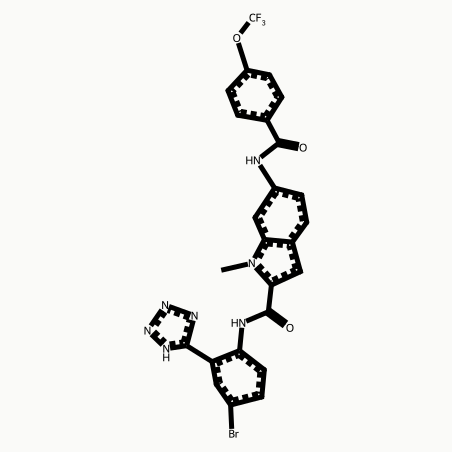 Cn1c(C(=O)Nc2ccc(Br)cc2-c2nnn[nH]2)cc2ccc(NC(=O)c3ccc(OC(F)(F)F)cc3)cc21